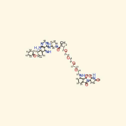 C=C(CCOCCOCCOCCOCCNc1cccc2c1C(=O)N(C1CCC(=O)NC1=O)C2=O)C(=O)N1CCCC(Nc2ncnc(N)c2C(=N)c2ccc(Oc3ccccc3)cc2)C1